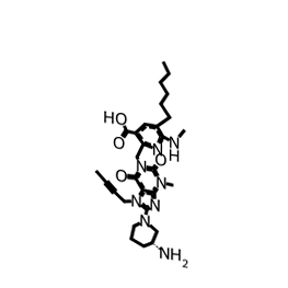 CC#CCn1c(N2CCC[C@@H](N)C2)nc2c1c(=O)n(Cc1nc(NC)c(CCCCCC)cc1C(=O)O)c(=O)n2C